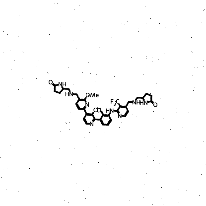 COc1nc(-c2ccnc(-c3cccc(Nc4nccc(CNCC5CCC(=O)N5)c4C(F)(F)F)c3Cl)c2Cl)ccc1CNCC1CCC(=O)N1